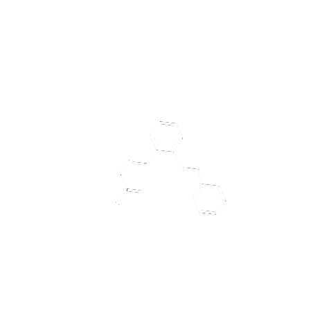 C[C@H](NCc1ccccc1OCc1ccccc1)C(N)=O